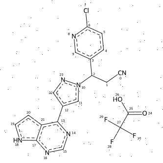 N#CCC(c1ccc(Cl)nc1)n1cc(-c2ncnc3[nH]ccc23)cn1.O=C(O)C(F)(F)F